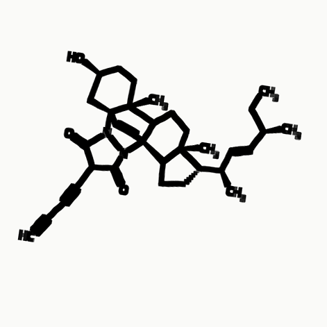 C#CC#CC1C(=O)N2N(C1=O)[C@@]13C=C[C@@]24C2CC[C@@H]([C@H](C)/C=C/[C@H](C)CC)[C@@]2(C)CCC4[C@@]1(C)CC[C@H](O)C3